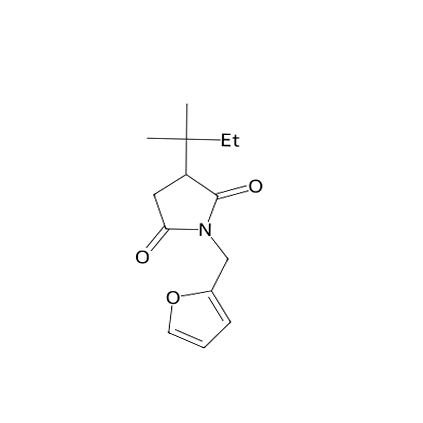 CCC(C)(C)C1CC(=O)N(Cc2ccco2)C1=O